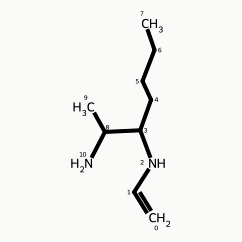 C=CNC(CCCC)C(C)N